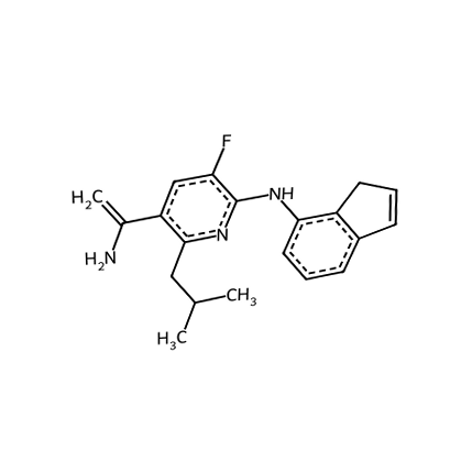 C=C(N)c1cc(F)c(Nc2cccc3c2CC=C3)nc1CC(C)C